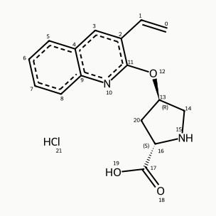 C=Cc1cc2ccccc2nc1O[C@H]1CN[C@H](C(=O)O)C1.Cl